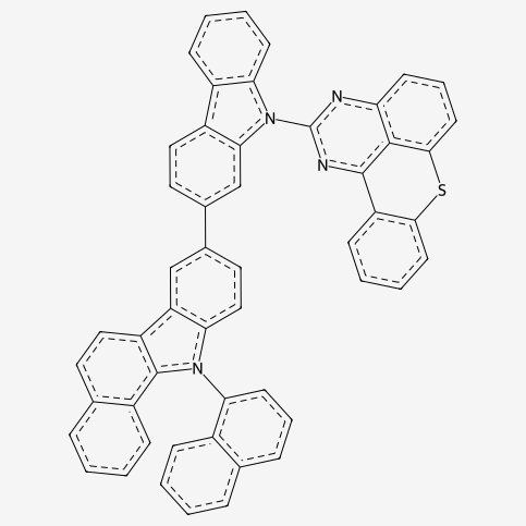 c1ccc2c(c1)Sc1cccc3nc(-n4c5ccccc5c5ccc(-c6ccc7c(c6)c6ccc8ccccc8c6n7-c6cccc7ccccc67)cc54)nc-2c13